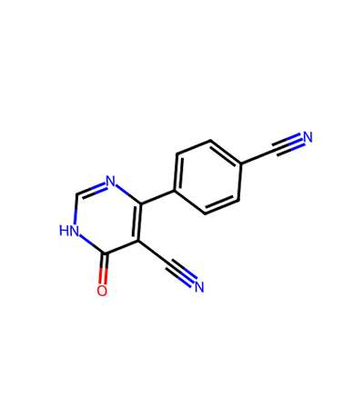 N#Cc1ccc(-c2nc[nH]c(=O)c2C#N)cc1